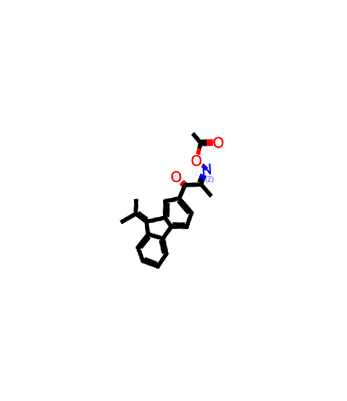 CC(=O)O/N=C(/C)C(=O)c1ccc2c(c1)C(=C(C)C)c1ccccc1-2